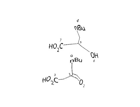 CCCCC(=O)C(=O)O.CCCCC(O)C(=O)O